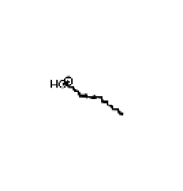 CCCCCCCCCC#CC#CCCCCCC(=O)O